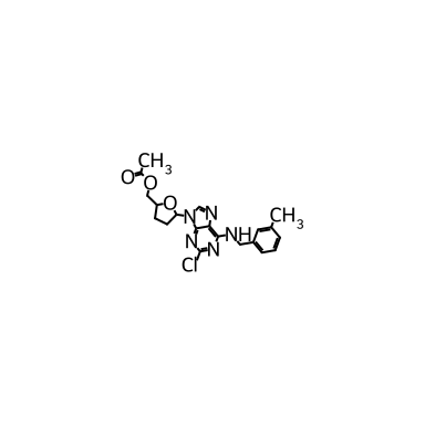 CC(=O)OCC1CCC(n2cnc3c(NCc4cccc(C)c4)nc(Cl)nc32)O1